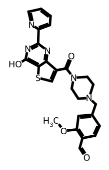 COc1cc(CN2CCN(C(=O)c3csc4c(O)nc(-c5ccccn5)nc34)CC2)ccc1C=O